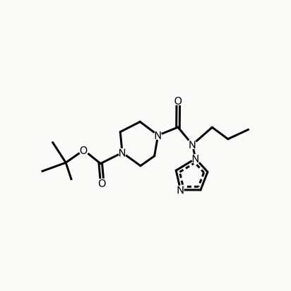 CCCN(C(=O)N1CCN(C(=O)OC(C)(C)C)CC1)n1ccnc1